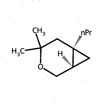 CCC[C@]12C[C@H]1COC(C)(C)C2